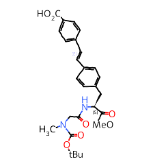 COC(=O)[C@H](Cc1ccc(/C=C/c2ccc(C(=O)O)cc2)cc1)NC(=O)CN(C)C(=O)OC(C)(C)C